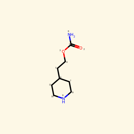 NC(=O)OCCC1CCNCC1